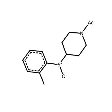 CC(=O)N1CCC([S+]([O-])c2ccccc2C)CC1